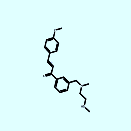 CNCCN(C)Cc1cccc(C(=O)/C=C/c2ccc(OC)cc2)c1